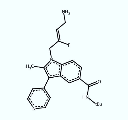 Cc1c(-c2ccncc2)c2cc(C(=O)NC(C)(C)C)ccc2n1C/C(F)=C/CN